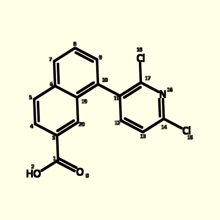 O=C(O)c1ccc2cccc(-c3ccc(Cl)nc3Cl)c2c1